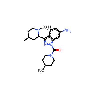 CC1CCN(C(=O)O)C(c2nn(C(=O)N3CCC(C(F)(F)F)CC3)c3cc(N)ccc23)C1